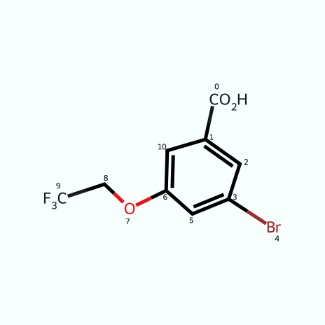 O=C(O)c1cc(Br)cc(OCC(F)(F)F)c1